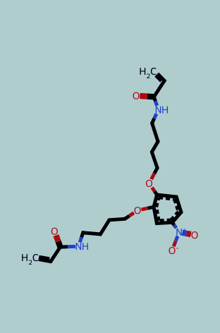 C=CC(=O)NCCCCOc1ccc([N+](=O)[O-])cc1OCCCCNC(=O)C=C